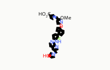 COc1nc(O[C@@H]2CCc3c(-c4cccc(Nc5nccc6cc(CN7CC[C@@H](O)C7)cnc56)c4F)cccc32)ccc1CN1CC[C@@H](C(=O)O)C1